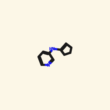 C1=C(Nc2cccnc2)CCC1